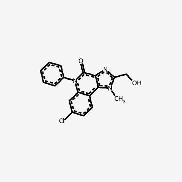 Cn1c(CO)nc2c(=O)n(-c3ccccc3)c3cc(Cl)ccc3c21